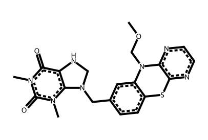 COCN1c2cc(CN3CNc4c3n(C)c(=O)n(C)c4=O)ccc2Sc2nccnc21